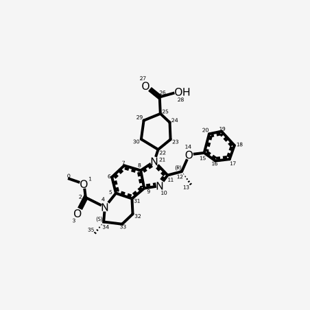 COC(=O)N1c2ccc3c(nc([C@@H](C)Oc4ccccc4)n3C3CCC(C(=O)O)CC3)c2CC[C@@H]1C